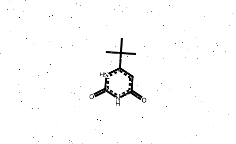 CC(C)(C)c1cc(=O)[nH]c(=O)[nH]1